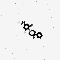 Nc1cc(F)c(N2CCC(F)(c3ccccc3)CC2)c(F)c1